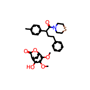 COc1c2cc(c(O)c1OC)C(=O)O2.Cc1ccc(C(CCc2ccccc2)C(=O)N2CCSCC2)cc1